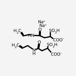 C=CCNC(=O)CC(C(=O)[O-])S(=O)(=O)O.C=CCNC(=O)CC(C(=O)[O-])S(=O)(=O)O.[Na+].[Na+]